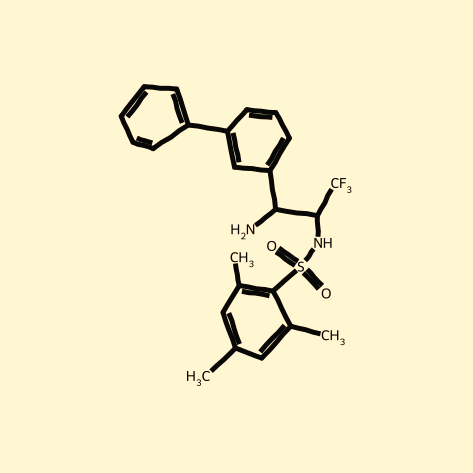 Cc1cc(C)c(S(=O)(=O)NC(C(N)c2cccc(-c3ccccc3)c2)C(F)(F)F)c(C)c1